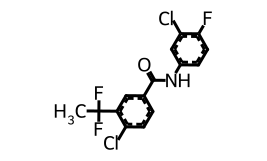 CC(F)(F)c1cc(C(=O)Nc2ccc(F)c(Cl)c2)ccc1Cl